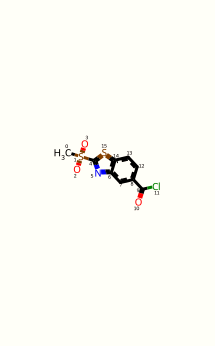 CS(=O)(=O)c1nc2cc(C(=O)Cl)ccc2s1